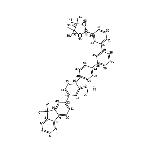 CC1(C)c2ccccc2-c2ccc(-c3ccc4c(c3)C(C)(C)c3cc(-c5cccc(-c6cccc(B7OC(C)(C)C(C)(C)O7)c6)c5)ccc3-4)cc21